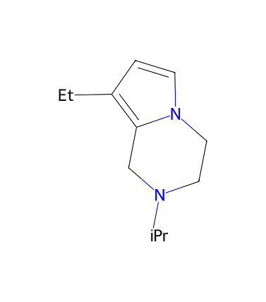 CCc1ccn2c1CN(C(C)C)CC2